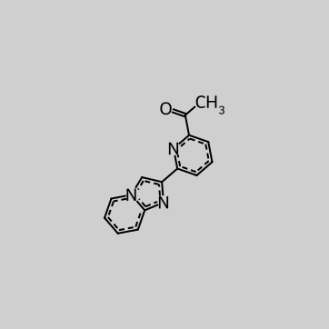 CC(=O)c1cccc(-c2cn3ccccc3n2)n1